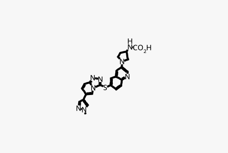 Cn1cc(-c2ccc3nnc(Sc4ccc5ncc(N6CCC(NC(=O)O)C6)cc5c4)n3c2)cn1